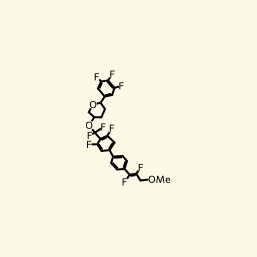 COC/C(F)=C(\F)c1ccc(-c2cc(F)c(C(F)(F)OC3CCC(c4cc(F)c(F)c(F)c4)OC3)c(F)c2)cc1